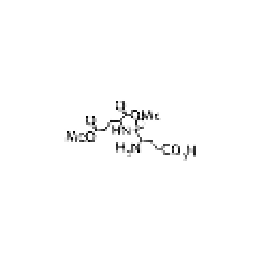 COC(=O)CCC(NC(=O)C(N)CCC(=O)O)C(=O)OC